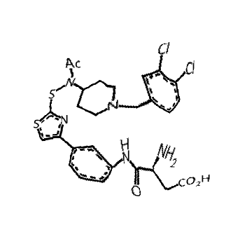 CC(=O)N(Sc1nc(-c2cccc(NC(=O)[C@@H](N)CC(=O)O)c2)cs1)C1CCN(Cc2ccc(Cl)c(Cl)c2)CC1